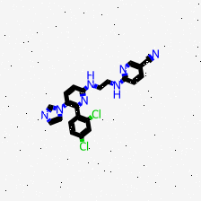 N#Cc1ccc(NCCNc2ccc(-n3ccnc3)c(-c3ccc(Cl)cc3Cl)n2)nc1